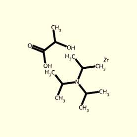 CC(C)N(C(C)C)C(C)C.CC(O)C(=O)O.[Zr]